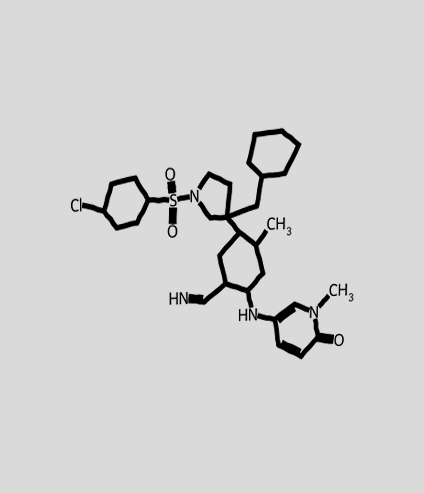 CC1CC(Nc2ccc(=O)n(C)c2)C(C=N)CC1C1(CC2CCCCC2)CCN(S(=O)(=O)C2CCC(Cl)CC2)C1